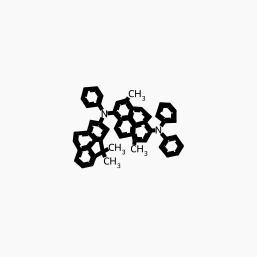 Cc1cc(N(c2ccccc2)c2ccccc2)c2ccc3c(C)cc(N(c4ccccc4)c4cc5c6c(ccc7cccc(c76)C5(C)C)c4)c4ccc1c2c34